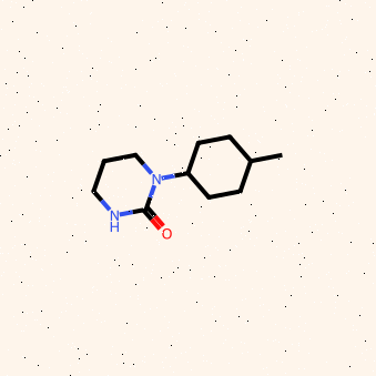 CC1CCC(N2CCCNC2=O)CC1